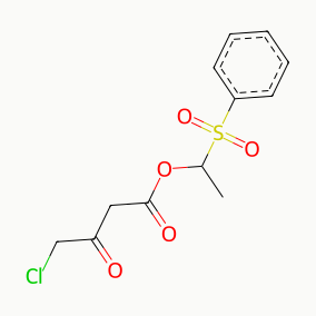 CC(OC(=O)CC(=O)CCl)S(=O)(=O)c1ccccc1